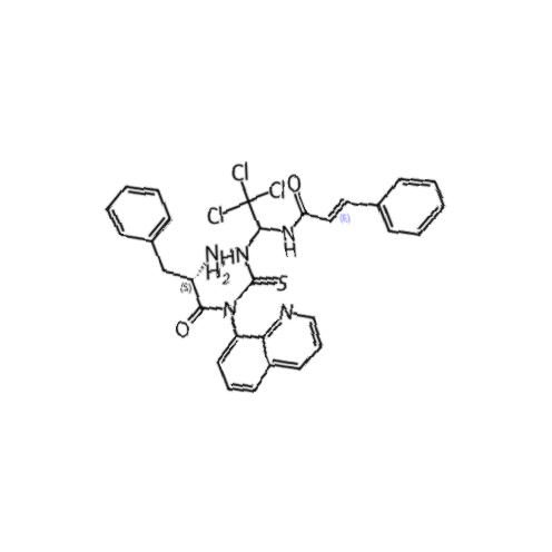 N[C@@H](Cc1ccccc1)C(=O)N(C(=S)NC(NC(=O)/C=C/c1ccccc1)C(Cl)(Cl)Cl)c1cccc2cccnc12